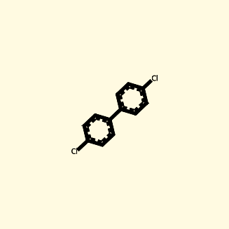 Clc1[c]cc(-c2c[c]c(Cl)cc2)cc1